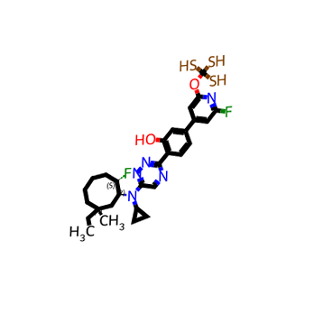 CC[C@]1(C)CCCC[C@H](F)[C@H](N(c2cnc(-c3ccc(-c4cc(F)nc(OC(S)(S)S)c4)cc3O)nn2)C2CC2)C1